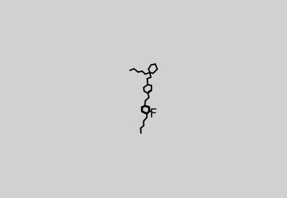 CCCCCc1ccc(CCC2=CCC(CCC3(CCCCC)CCCCC3)CC2)cc1F